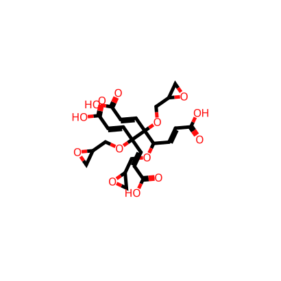 O=C(O)C=CC(OCC1CO1)C(C=CC(=O)O)(OCC1CO1)C(C=CC(=O)O)(C=CC(=O)O)OCC1CO1